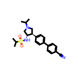 CC(C)N1C[C@@H](NS(=O)(=O)C(C)C)[C@H](c2ccc(-c3ccc(C#N)cc3)cc2)C1